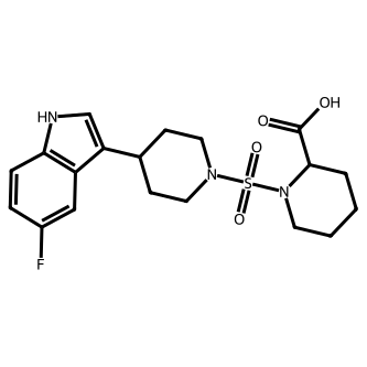 O=C(O)C1CCCCN1S(=O)(=O)N1CCC(c2c[nH]c3ccc(F)cc23)CC1